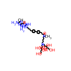 Cc1nc(C(=O)NC(=N)NCCCCc2ccc(-c3ccc(CCC(=O)N(C)CCCCCN(CCC(O)C(O)CCO)CC(O)C(O)C(O)CCO)cc3)cc2)c(N)nc1N